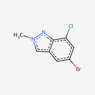 Cn1cc2cc(Br)cc(Cl)c2n1